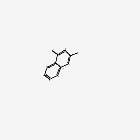 [CH2]c1cc(C)c2ccccc2c1